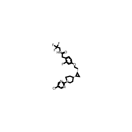 O=C(Cc1ccc(OCC[C@@H]2C[C@@H]2C2CCN(c3ncc(Cl)cn3)CC2)cc1F)NCC(F)(F)F